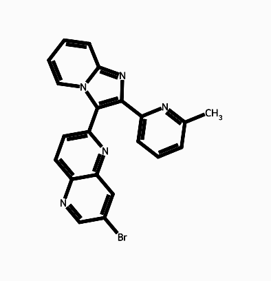 Cc1cccc(-c2nc3ccccn3c2-c2ccc3ncc(Br)cc3n2)n1